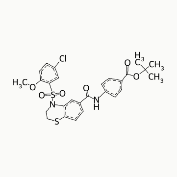 COc1ccc(Cl)cc1S(=O)(=O)N1CCSc2ccc(C(=O)Nc3ccc(C(=O)OC(C)(C)C)cc3)cc21